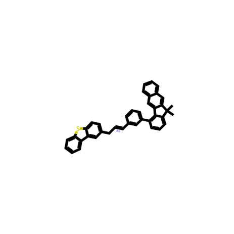 CC1(C)c2cc3ccccc3cc2-c2c(-c3cccc(/C=C/Cc4ccc5sc6ccccc6c5c4)c3)cccc21